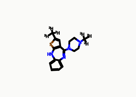 [2H]C([2H])([2H])c1cc2c(s1)Nc1ccccc1N=C2N1CCN(C([2H])([2H])[2H])CC1